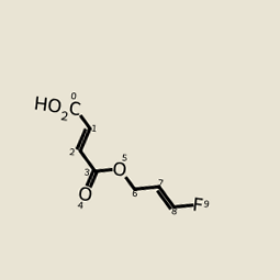 O=C(O)C=CC(=O)OCC=CF